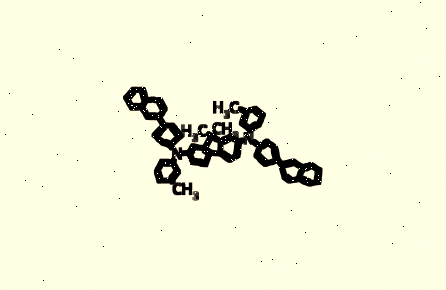 Cc1cccc(N(c2ccc(-c3ccc4ccccc4c3)cc2)c2ccc3c(c2)C(C)(C)c2cc(N(c4ccc(-c5ccc6ccccc6c5)cc4)c4cccc(C)c4)ccc2-3)c1